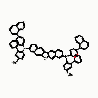 CC(C)(C)c1ccc(N(c2ccc(-c3cccc4ccccc34)cc2)c2ccc3cc4c(cc3c2)oc2cc3cc(N(c5ccc(-c6cccc7ccccc67)cc5)c5ccc(C(C)(C)C)cc5-c5ccccc5)ccc3cc24)c(-c2ccccc2)c1